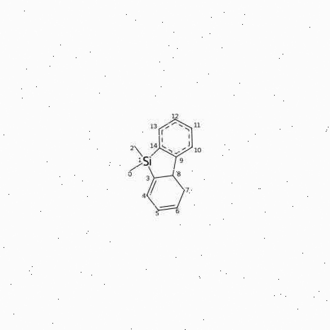 C[Si]1(C)C2=CC=CCC2c2ccccc21